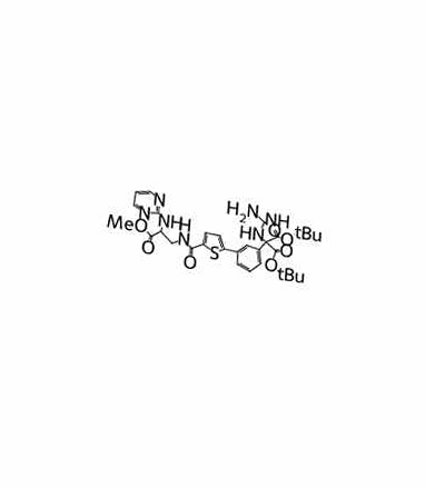 COC(=O)C(CNC(=O)c1ccc(-c2cccc(C(NC(=N)N)(C(=O)OC(C)(C)C)C(=O)OC(C)(C)C)c2)s1)Nc1ncccn1